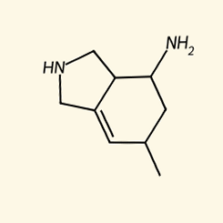 CC1C=C2CNCC2C(N)C1